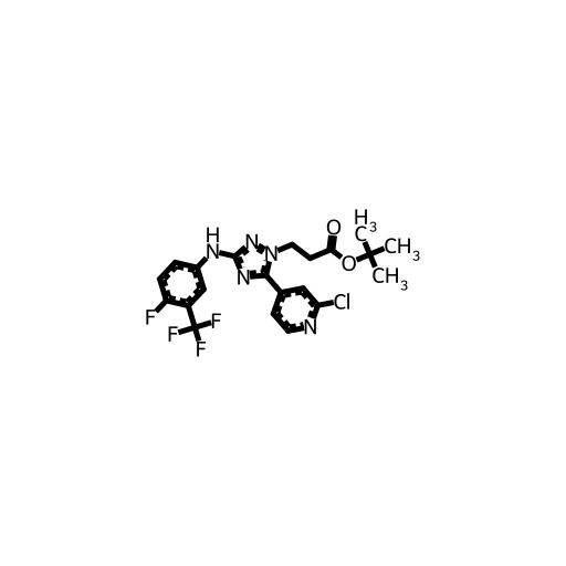 CC(C)(C)OC(=O)CCn1nc(Nc2ccc(F)c(C(F)(F)F)c2)nc1-c1ccnc(Cl)c1